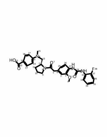 COc1cc(CC(=O)N2CCC[C@H]2CN(C)c2ccc(C(=O)O)cc2)ccc1NC(=O)Nc1ccccc1F